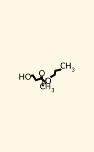 CCCCCON(C)C(=O)CCO